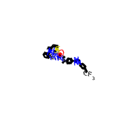 CCc1ccccc1N1/C(=N/C(=O)N/C(C)=C(\C)c2ccc(-c3ncn(-c4ccc(CC(F)(F)F)cc4)n3)cc2)SCCC1C